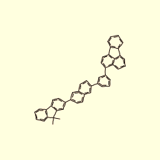 CC1(C)c2ccccc2-c2ccc(-c3ccc4cc(-c5cccc(-c6ccc7c8c(cccc68)-c6ccccc6-7)c5)ccc4c3)cc21